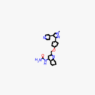 Cn1cc(-c2ccncc2)c(-c2ccc(OCc3cc(NC(N)=O)c4ccccc4n3)cc2)n1